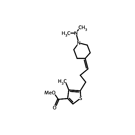 COC(=O)c1csc(CCC=C2CCN(N(C)C)CC2)c1C